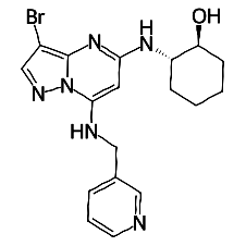 O[C@H]1CCCC[C@@H]1Nc1cc(NCc2cccnc2)n2ncc(Br)c2n1